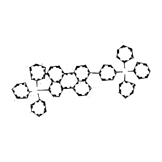 c1ccc([Si](c2ccccc2)(c2ccccc2)c2ccc(-c3ccc4c5cccc6c([Si](c7ccccc7)(c7ccccc7)c7ccccc7)ccc(c7cccc3c47)c65)cc2)cc1